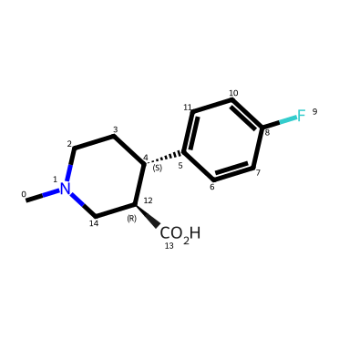 CN1CC[C@H](c2ccc(F)cc2)[C@@H](C(=O)O)C1